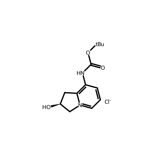 CC(C)(C)OC(=O)Nc1ccc[n+]2c1C[C@H](O)C2.[Cl-]